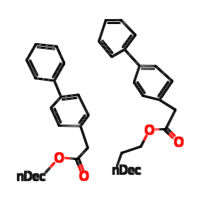 CCCCCCCCCCCCOC(=O)Cc1ccc(-c2ccccc2)cc1.CCCCCCCCCCOC(=O)Cc1ccc(-c2ccccc2)cc1